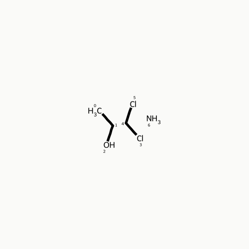 CCO.ClCCl.N